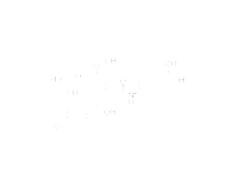 COc1cc(CC(=O)N[C@H]2CC[C@H](C(C)O)CC2)c(C(O)c2ccc(Cl)cc2)cc1OC(C)C